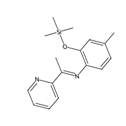 CC(=Nc1ccc(C)cc1O[Si](C)(C)C)c1ccccn1